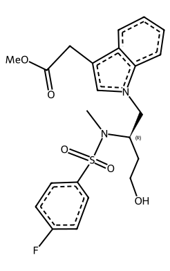 COC(=O)Cc1cn(C[C@@H](CCO)N(C)S(=O)(=O)c2ccc(F)cc2)c2ccccc12